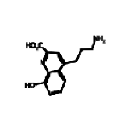 NCCCc1cc(C(=O)O)nc2c(O)cccc12